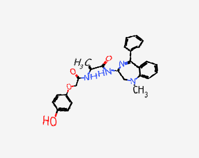 CC(NC(=O)COc1ccc(O)cc1)C(=O)N[C@@H]1CN(C)c2ccccc2C(c2ccccc2)=N1